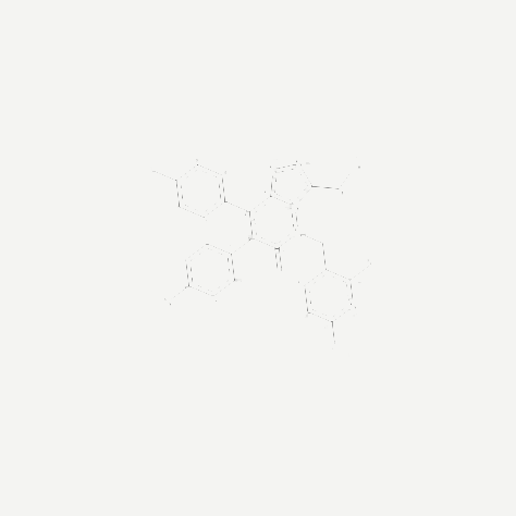 [C-]#[N+]c1ccc(-c2c(-c3ccc(Cl)cc3)c3nnc(CO)n3n(Cc3ccc(C(F)(F)F)nc3C)c2=O)cc1